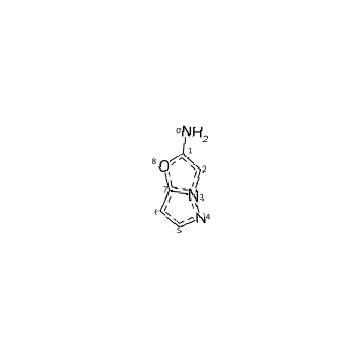 Nc1cn2nccc2o1